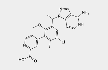 COc1c(C(C)n2ncc3c2N=CNC3N)cc(Cl)c(C)c1-c1ccnc(C(=O)O)c1